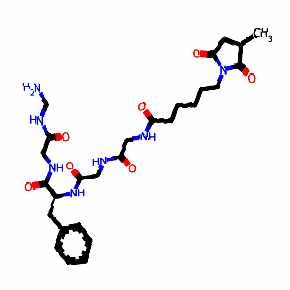 CC1CC(=O)N(CCCCCC(=O)NCC(=O)NCC(=O)N[C@@H](Cc2ccccc2)C(=O)NCC(=O)NCN)C1=O